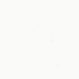 NCCCCN1CCC2(CC1)CN(C(=O)c1cccc(F)c1F)c1ccc(Cl)cc12